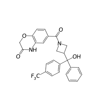 O=C1COc2ccc(C(=O)N3CC(C(O)(c4ccccc4)c4ccc(C(F)(F)F)cc4)C3)cc2N1